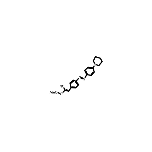 COO/C(C#N)=C/c1ccc(/N=N/c2ccc(N3CCCCC3)cc2)cc1